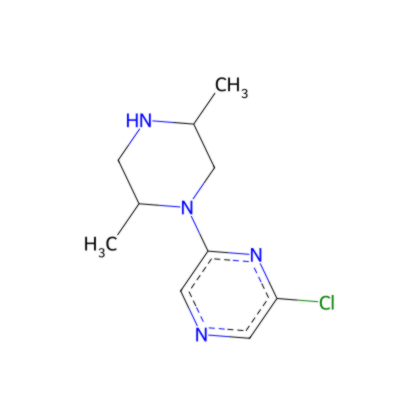 CC1CN(c2cncc(Cl)n2)C(C)CN1